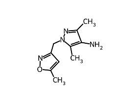 Cc1cc(Cn2nc(C)c(N)c2C)no1